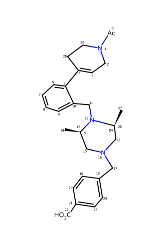 CC(=O)N1CC=C(c2ccccc2CN2[C@H](C)CN(Cc3ccc(C(=O)O)cc3)C[C@@H]2C)CC1